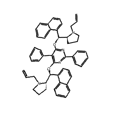 C=CCN1CCC[C@H]1[C@@H](Oc1nc(-c2ccccc2)nc(O[C@@H](c2cccc3ccccc23)[C@@H]2CCCN2CC=C)c1-c1ccccc1)c1cccc2ccccc12